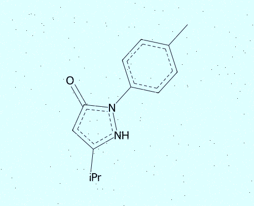 Cc1ccc(-n2[nH]c(C(C)C)cc2=O)cc1